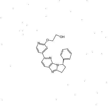 OCCOc1cc(-c2ccc3nc4n(c3n2)[C@@H](c2ccccc2)CC4)ccn1